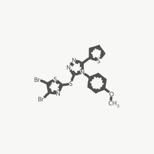 COc1ccc(-n2c(Sc3nc(Br)c(Br)s3)nnc2-c2cccs2)cc1